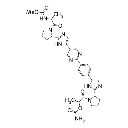 COC(=O)N[C@@H](C)C(=O)N1CCC[C@H]1c1ncc(-c2cnc(-c3ccc(-c4cnc([C@@H]5CCCN5C(=O)[C@H](C)OC(N)=O)[nH]4)cc3)nc2)[nH]1